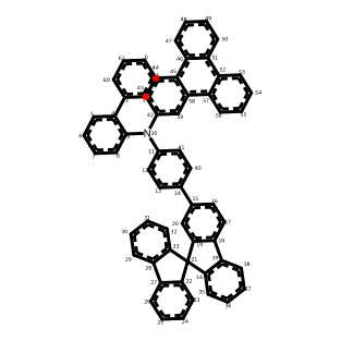 c1ccc(-c2ccccc2N(c2ccc(-c3ccc4c(c3)C3(c5ccccc5-c5ccccc53)c3ccccc3-4)cc2)c2ccc3c4ccccc4c4ccccc4c3c2)cc1